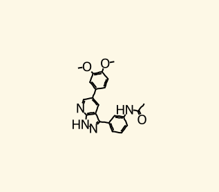 COc1ccc(-c2cnc3[nH]nc(-c4cccc(NC(C)=O)c4)c3c2)cc1OC